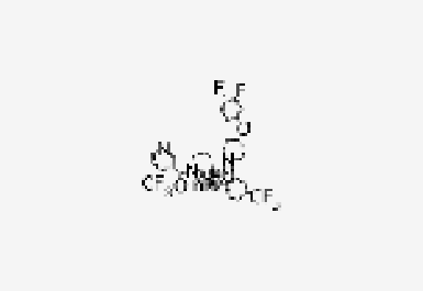 CCC[C@H]1N(C(=O)c2cnccc2C(F)(F)F)CCC[C@@]1(Oc1ccc(C(F)(F)F)cc1)C(=O)N1CCC(Oc2ccc(F)c(F)c2)CC1